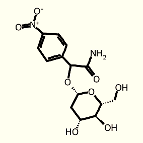 NC(=O)C(O[C@H]1C[C@@H](O)[C@H](O)[C@@H](CO)O1)c1ccc([N+](=O)[O-])cc1